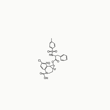 Cc1ccc(S(=O)(=O)NC(Cc2ccccc2)C(=O)OC[C@]2(O)c3cc(Cl)ccc3N(C(=O)O)CCC2(F)F)cc1